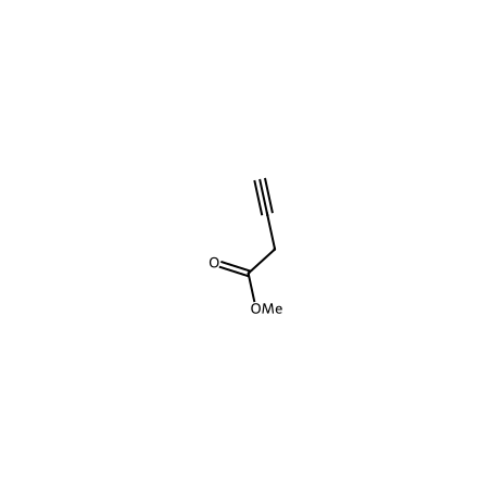 C#CCC(=O)O[CH2]